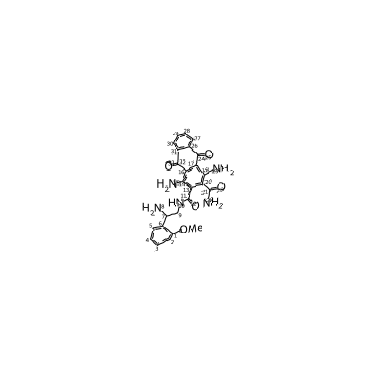 COc1ccccc1C(N)CNC(=O)c1c(N)c2c(c(N)c1C(N)=O)C(=O)c1ccccc1C2=O